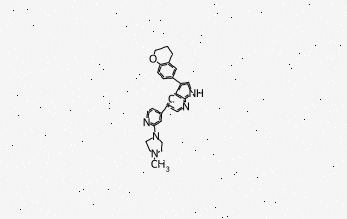 CN1CCN(c2cc(-c3cnc4[nH]cc(-c5ccc6c(c5)CCCO6)c4c3)ccn2)CC1